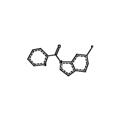 O=C(c1ccccn1)n1ccc2ccc(F)cc21